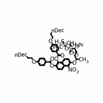 CCCCCCCCCCCCOc1ccc(C(=O)Oc2ccc3c([N+](=O)[O-])c(OC(C)CC[C@@H](CCC)[Si](C)(C)O[Si](C)(C)C)ccc3c2OC(=O)c2ccc(OCCCCCCCCCCCC)cc2)cc1